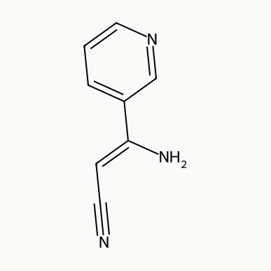 N#CC=C(N)c1cccnc1